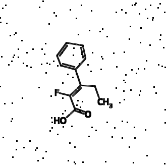 CC/C(=C(/F)C(=O)O)c1ccccc1